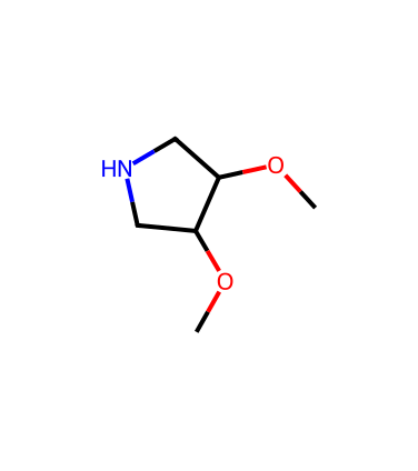 COC1CNCC1OC